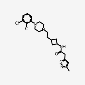 Cc1cc(CC(=O)NC2CC(CCN3CCN(c4cccc(Cl)c4Cl)CC3)C2)sn1